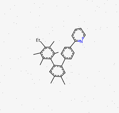 CCc1c(C)c(C)c(-c2cc(C)c(C)cc2-c2ccc(-c3ccccn3)cc2)c(C)c1C